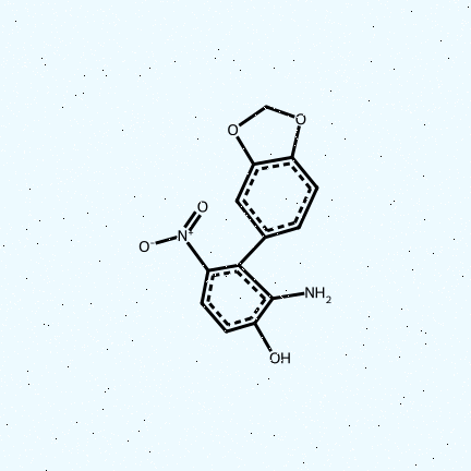 Nc1c(O)ccc([N+](=O)[O-])c1-c1ccc2c(c1)OCO2